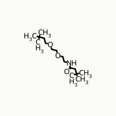 CC(C)(C)CCOCCOCCNC(=O)CC(C)(C)C